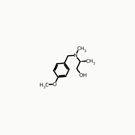 COc1ccc(CN(C)[C@@H](C)CO)cc1